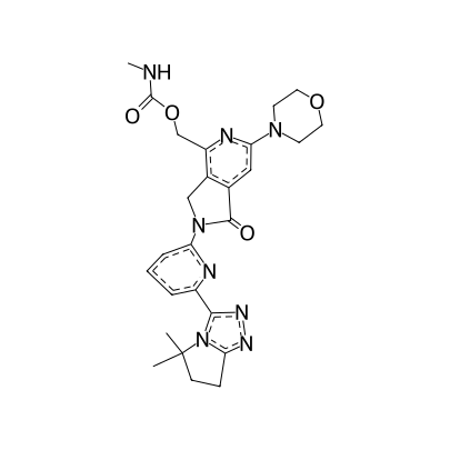 CNC(=O)OCc1nc(N2CCOCC2)cc2c1CN(c1cccc(-c3nnc4n3C(C)(C)CC4)n1)C2=O